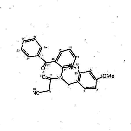 COc1ccc(CN(C(=O)CC#N)c2ccccc2C(=O)c2ccccc2)c(OC)c1